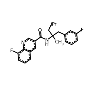 CC(C)CC(C)(Cc1cccc(F)c1)NC(=O)c1cnc2c(F)cccc2c1